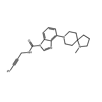 CC(C)C#CCNC(=O)n1cnc2c(N3CCC4(CCCN4C)CC3)cccc21